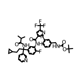 CC(C)C(=O)NC(CCC1CC1)(c1cccnc1)c1ccc(F)c(NC(=O)c2cc(C(F)(F)F)nn2-c2cccc(CNC(=O)OC(C)(C)C)c2)c1